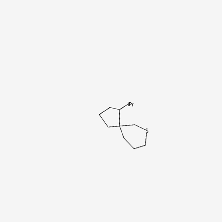 CC(C)C1CCCC12CCCSC2